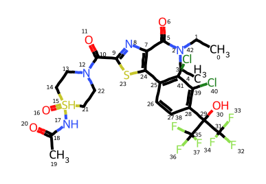 CCN(CC)C(=O)c1nc(C(=O)N2CC[SH](=O)(NC(C)=O)CC2)sc1-c1ccc(C(O)(C(F)(F)F)C(F)(F)F)c(Cl)c1Cl